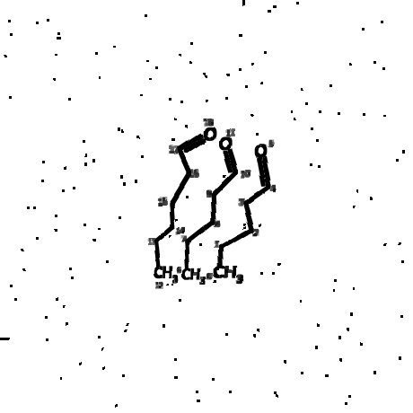 CCCCC=O.CCCCC=O.CCCCCC=O